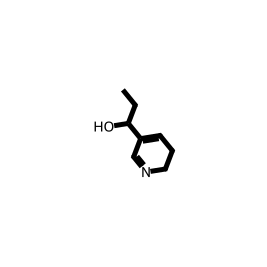 CCC(O)C1=CCCN=C1